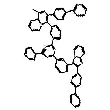 CC1=CC(c2ccc(-c3ccccc3)cc2)=C(c2cccc(-c3nc(-c4ccccc4)nc(-c4cccc(-c5c(-c6ccc(-c7ccccc7)cc6)nc6ccccn56)c4)n3)c2)N2C=CC=CC12